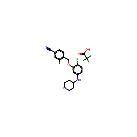 N#Cc1ccc(COc2cc(NC3CCNCC3)ccc2F)c(F)c1.O=C(O)C(F)(F)F